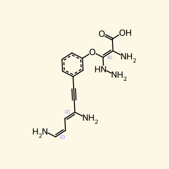 N/C=C\C=C(/N)C#Cc1cccc(O/C(NN)=C(/N)C(=O)O)c1